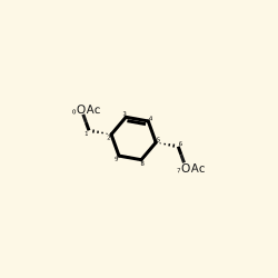 CC(=O)OC[C@@H]1C=C[C@H](COC(C)=O)CC1